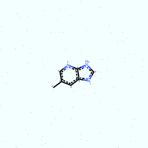 Cc1cnc2[nH]cnc2c1